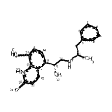 CC(Cc1ccccc1)NC[C@H](O)c1ccc(O)c2[nH]c(=O)ccc12